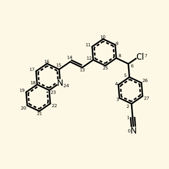 N#Cc1ccc(C(Cl)c2cccc(C=Cc3ccc4ccccc4n3)c2)cc1